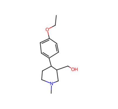 CCOc1ccc(C2CCN(C)CC2CO)cc1